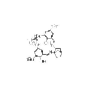 CC(=O)[O-].CC(=O)[O-].CCCc1cc(C=NC2CC3CCC2(N=Cc2cc(CCC)cc(C(C)(C)C)c2O)C3)c(O)c(C(C)(C)C)c1.[Co+2]